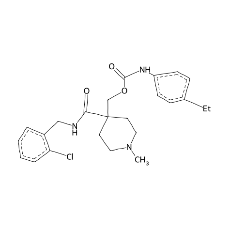 CCc1ccc(NC(=O)OCC2(C(=O)NCc3ccccc3Cl)CCN(C)CC2)cc1